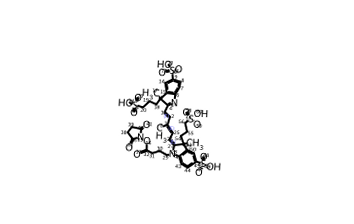 CC(/C=C/C1=Nc2ccc(S(=O)(=O)O)cc2C1(C)CCCS(=O)(=O)O)=C\C=C1\N(CCCC(=O)ON2C(=O)CCC2=O)c2ccc(S(=O)(=O)O)cc2C1(C)CCCS(=O)(=O)O